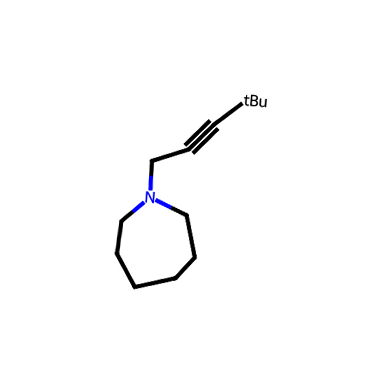 CC(C)(C)C#CCN1CCCCCC1